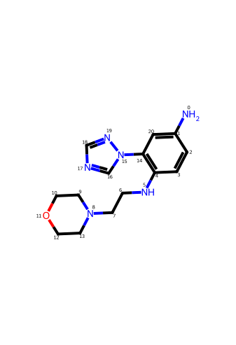 Nc1ccc(NCCN2CCOCC2)c(-n2cncn2)c1